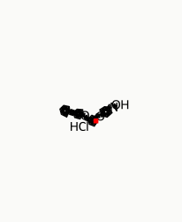 CC(C)(c1ccccc1)c1ccc(OCc2cccc(COc3ccc(C=NO)cc3)c2)cc1.Cl